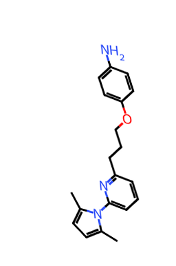 Cc1ccc(C)n1-c1cccc(CCCOc2ccc(N)cc2)n1